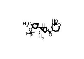 Cc1ccc([C@H]2[C@@H]3CN(C(=O)[C@@H]4CCCOC(=O)NC4)C[C@@]32C)cc1OC(F)(F)F